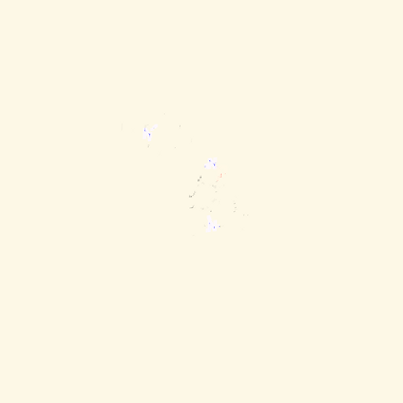 C/C=C/c1c(N(C)C)ccc2c(CCC3CCN(C)CC3)noc12